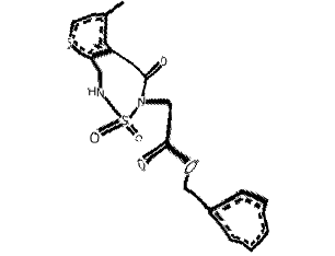 Cc1csc2c1C(=O)N(CC(=O)OCc1ccccc1)S(=O)(=O)N2